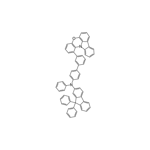 c1ccc(N(c2ccc(-c3cccc(-c4cccc5c4-n4c6ccccc6c6cccc(c64)O5)c3)cc2)c2ccc3c(c2)C(c2ccccc2)(c2ccccc2)c2ccccc2-3)cc1